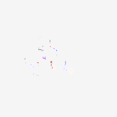 CCO/N=C(\CCC(=O)O)c1nc2ccccc2n([C@H]2C[C@H]3CCC[C@@H](C2)N3C2C[C@H]3CCC[C@@H](C2)C3)c1=O